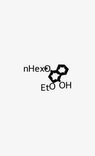 CCCCCCOc1cc(OCC)c(O)c2ccccc12